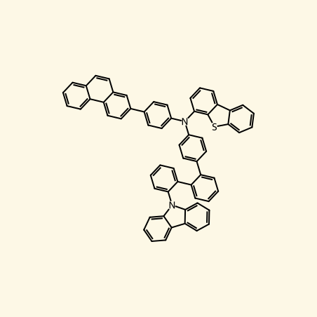 c1ccc(-c2ccccc2-n2c3ccccc3c3ccccc32)c(-c2ccc(N(c3ccc(-c4ccc5c(ccc6ccccc65)c4)cc3)c3cccc4c3sc3ccccc34)cc2)c1